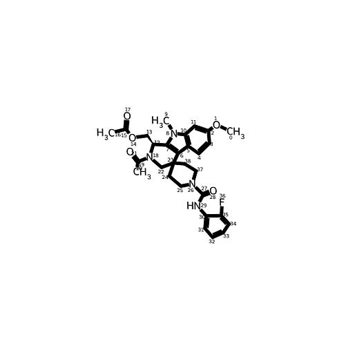 COc1ccc2c3c(n(C)c2c1)[C@H](COC(C)=O)N(C(C)=O)CC31CCN(C(=O)Nc2ccccc2F)CC1